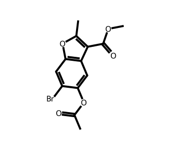 COC(=O)c1c(C)oc2cc(Br)c(OC(C)=O)cc12